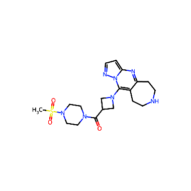 CS(=O)(=O)N1CCN(C(=O)C2CN(c3c4c(nc5ccnn35)CCNCC4)C2)CC1